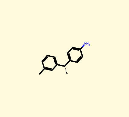 Cc1cccc([C@@H](C)c2ccc(N)cc2)c1